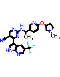 CC(Nc1ncc(C#N)c(-c2c[nH]c3ncc(C(F)(F)F)cc23)n1)c1ccc(OC2CCN(C)C2)nc1